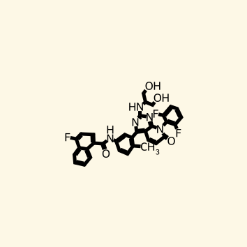 Cc1ccc(NC(=O)c2ccc(F)c3ccccc23)cc1-c1nc(NC(CO)CO)nc2c1ccc(=O)n2-c1c(F)cccc1F